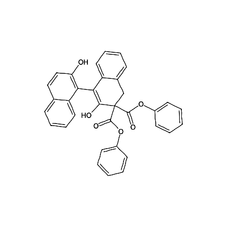 O=C(Oc1ccccc1)C1(C(=O)Oc2ccccc2)Cc2ccccc2C(c2c(O)ccc3ccccc23)=C1O